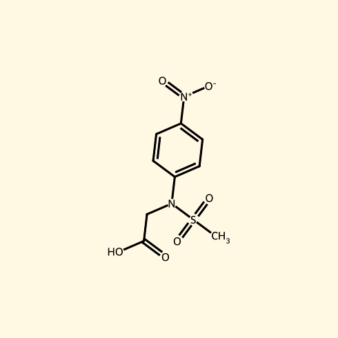 CS(=O)(=O)N(CC(=O)O)c1ccc([N+](=O)[O-])cc1